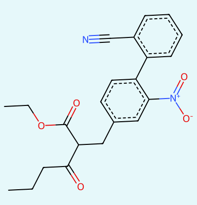 CCCC(=O)C(Cc1ccc(-c2ccccc2C#N)c([N+](=O)[O-])c1)C(=O)OCC